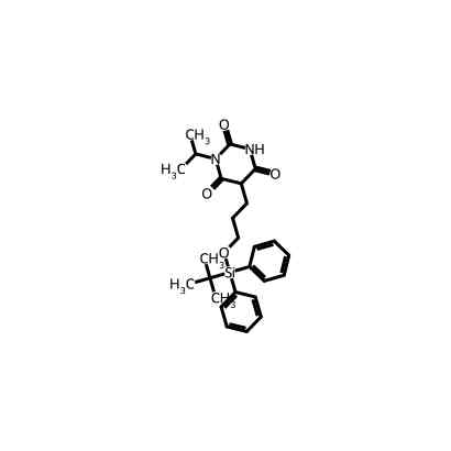 CC(C)N1C(=O)NC(=O)C(CCCO[Si](c2ccccc2)(c2ccccc2)C(C)(C)C)C1=O